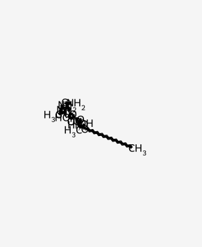 CCCCCCCCCCCCCCCCCCCCOC(=O)[C@H](C)NP(=O)(O)OC[C@H]1O[C@@H](n2cc(C(N)=O)c3c(N)nc(C)nc32)[C@H](O)[C@@H]1O